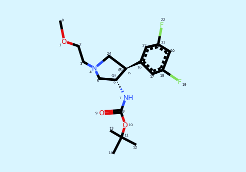 COCCN1C[C@@H](NC(=O)OC(C)(C)C)[C@H](c2cc(F)cc(F)c2)C1